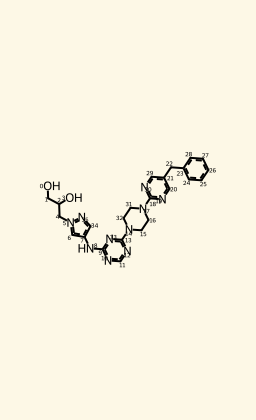 OCC(O)Cn1cc(Nc2ncnc(N3CCN(c4ncc(Cc5ccccc5)cn4)CC3)n2)cn1